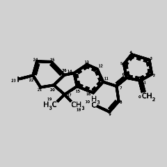 C=c1cccc/c1=C(/C=C\C)c1ccc2c(c1)C(C)(C)C1CC(I)=CC=C21